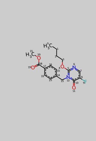 CCCCOc1ncc(F)c(=O)n1Cc1ccc(C(=O)OC)cc1